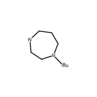 CCC(C)N1CCC[N]CC1